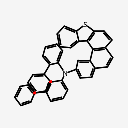 c1ccc(-c2cccc(N(c3ccc4ccc5ccc6sc7ccccc7c6c5c4c3)c3ccccc3-c3ccccc3)c2)cc1